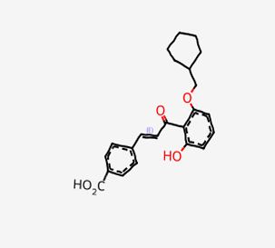 O=C(O)c1ccc(/C=C/C(=O)c2c(O)cccc2OCC2CCCCC2)cc1